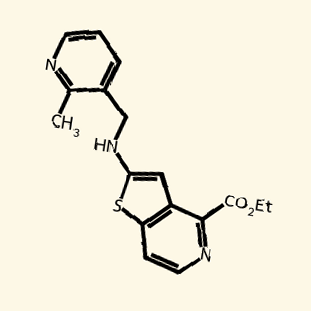 CCOC(=O)c1nccc2sc(NCc3cccnc3C)cc12